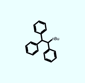 CCCCC([C](c1ccccc1)c1ccccc1)c1ccccc1